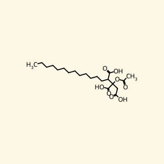 CCCCCCCCCCCCCC(C(=O)O)C(CC(=O)O)(OC(C)=O)C(=O)O